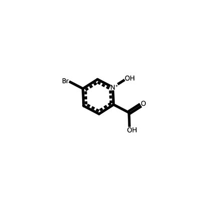 O=C(O)c1ccc(Br)c[n+]1O